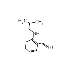 CC(C)CNC1=C(C=N)C=CCC1